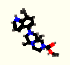 CC(C)OC(=O)N1CCN2[C@@H](C1)CN(c1ccc(C#N)c3ncccc13)C[C@@H]2C